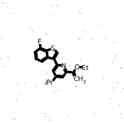 C=C(OCC)c1cc(C(C)C)cc(-c2csc3c(F)cccc23)n1